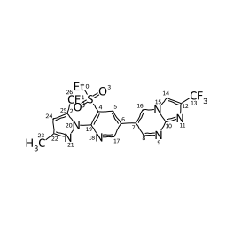 CCS(=O)(=O)c1cc(-c2cnc3nc(C(F)(F)F)cn3c2)cnc1-n1nc(C)cc1C(F)(F)F